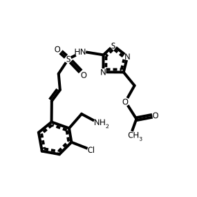 CC(=O)OCc1nsc(NS(=O)(=O)CC=Cc2cccc(Cl)c2CN)n1